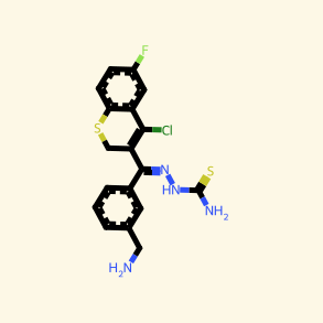 NCc1cccc(C(=NNC(N)=S)C2=C(Cl)c3cc(F)ccc3SC2)c1